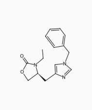 CCN1C(=O)OC[C@@H]1Cc1cn(Cc2ccccc2)cn1